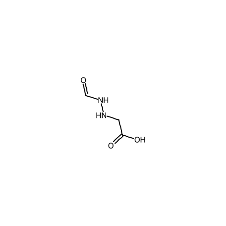 O=CNNCC(=O)O